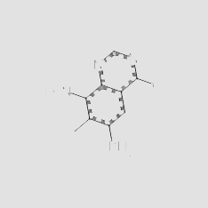 Bc1cc2c(Cl)ncnc2c([N+](=O)[O-])c1C